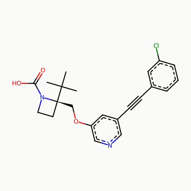 CC(C)(C)[C@]1(COc2cncc(C#Cc3cccc(Cl)c3)c2)CCN1C(=O)O